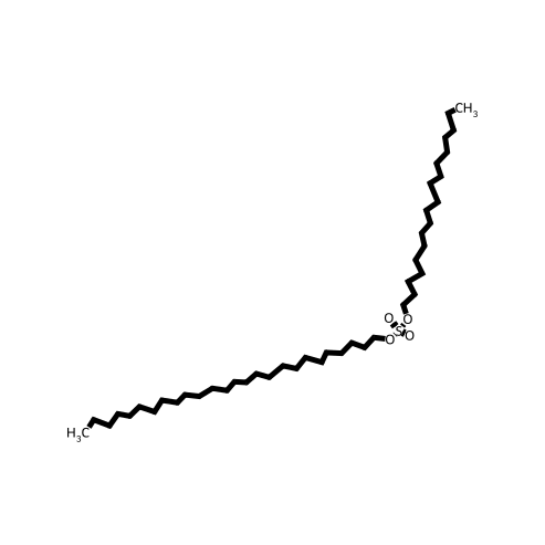 CCCCCCCCCCCCCCCCCCCCCCCCCCOS(=O)(=O)OCCCCCCCCCCCCCCCCCC